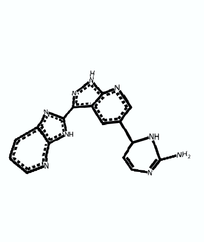 NC1=NC=CC(c2cnc3[nH]nc(-c4nc5cccnc5[nH]4)c3c2)N1